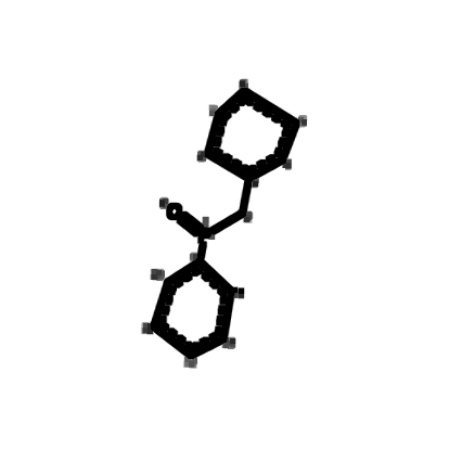 O=[P](Cc1ccccc1)c1ccccc1